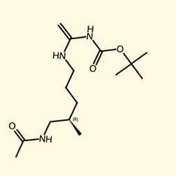 C=C(NCCC[C@@H](C)CNC(C)=O)NC(=O)OC(C)(C)C